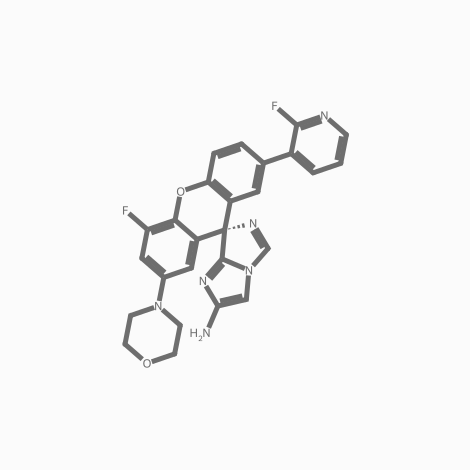 Nc1cn2c(n1)[C@]1(N=C2)c2cc(-c3cccnc3F)ccc2Oc2c(F)cc(N3CCOCC3)cc21